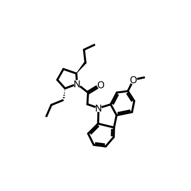 CCC[C@@H]1CC[C@@H](CCC)N1C(=O)Cn1c2ccccc2c2ccc(OC)cc21